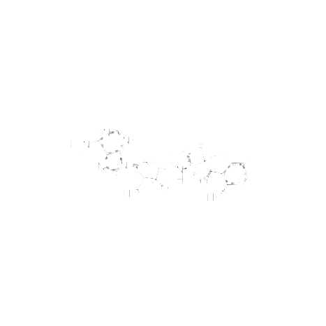 Nc1ncnc2c1ncn2[C@@H]1O[C@H](CNS(=O)(=O)C(F)(F)C(=O)c2ccccc2O)C(O)C1O